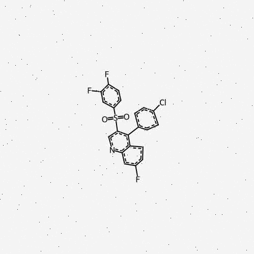 O=S(=O)(c1ccc(F)c(F)c1)c1cnc2cc(F)ccc2c1-c1ccc(Cl)cc1